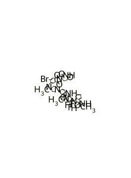 CNC(=O)c1ccccc1Nc1cc(Nc2ccc(N3CCC(N(C)Cc4cc5c(cc4Br)C(=O)N(C4CCC(=O)NC4=O)C5=O)CC3)cc2OC)ncc1C(F)(F)F